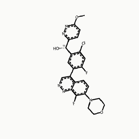 COc1ccc([C@@H](O)c2cc(-c3cnnc4c(F)c(N5CCOCC5)ccc34)c(F)cc2Cl)nn1